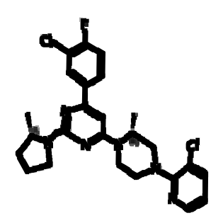 C[C@@H]1CN(c2ncccc2Cl)CCN1c1cc(-c2ccc(F)c(Cl)c2)nc(N2CCC[C@@H]2C)n1